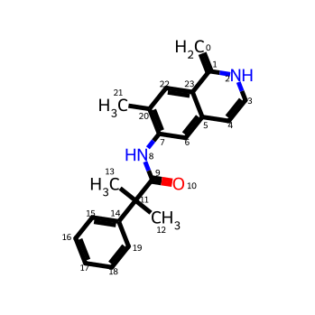 C=C1NC=Cc2cc(NC(=O)C(C)(C)c3ccccc3)c(C)cc21